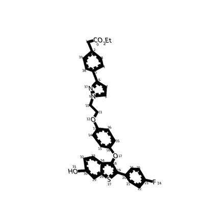 CCOC(=O)Cc1ccc(-c2ccn(CCOc3ccc(Oc4c(-c5ccc(F)cc5)sc5cc(O)ccc45)cc3)n2)cc1